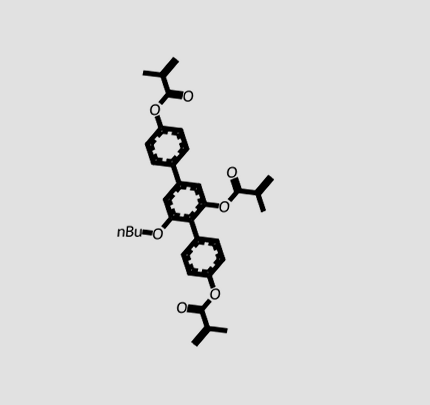 C=C(C)C(=O)Oc1ccc(-c2cc(OCCCC)c(-c3ccc(OC(=O)C(=C)C)cc3)c(OC(=O)C(=C)C)c2)cc1